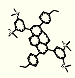 CCc1ccc(-c2cc(-c3cc([Si](C)(C)C)cc([Si](C)(C)C)c3)c3ccc4c(-c5ccc(CC)cc5)cc(-c5cc([Si](C)(C)C)cc([Si](C)(C)C)c5)c5ccc2c3c45)cc1